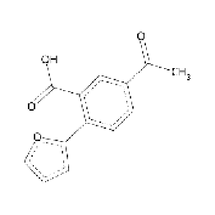 CC(=O)c1ccc(-c2ccco2)c(C(=O)O)c1